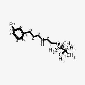 CC(C)(C)[Si](C)(C)OCCNCCCc1cccc(F)c1